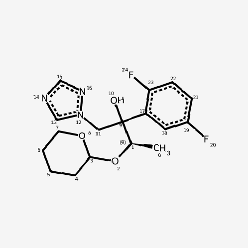 C[C@@H](OC1CCCCO1)C(O)(Cn1cncn1)c1cc(F)ccc1F